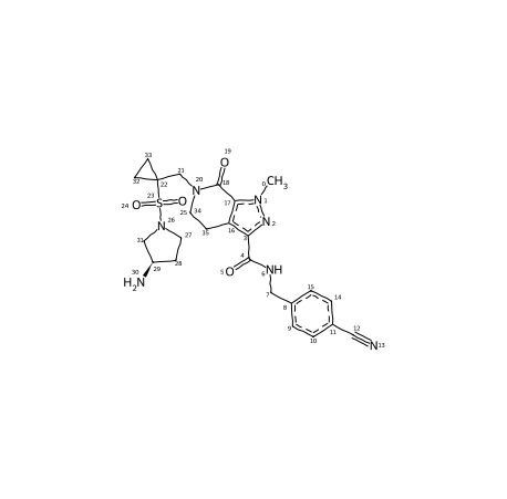 Cn1nc(C(=O)NCc2ccc(C#N)cc2)c2c1C(=O)N(CC1(S(=O)(=O)N3CC[C@@H](N)C3)CC1)CC2